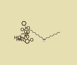 CCCCCCCC/C=C\CCCCCCCC(=O)O[C@H](C(=O)OC1=CC[C@]2(O)[C@H]3CCC[C@]24c2c(ccc(OC)c2O[C@H]14)C3)c1ccccc1